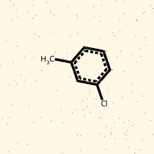 Cc1c[c][c]c(Cl)c1